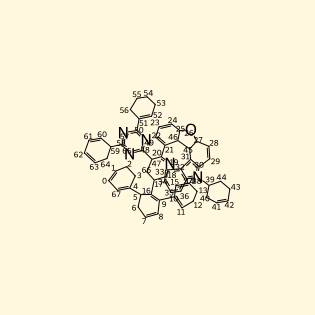 C1=CCCC(C2CC=CC(C3=CCCC=C3)=C2C2CN=C(C3=CC=CC4OC5C=Cc6c(c7ccccc7n6C6CC=CCC6)C5C34)C(c3nc(C4=CCCCC4)nc(C4C=CC=CC4)n3)C2)=C1